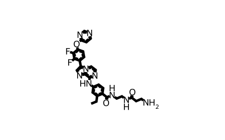 CCc1cc(Nc2nccn3c(-c4ccc(Oc5ccncn5)c(F)c4F)cnc23)ccc1C(=O)NCCNC(=O)CCN